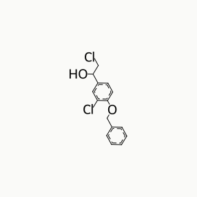 OC(CCl)c1ccc(OCc2ccccc2)c(Cl)c1